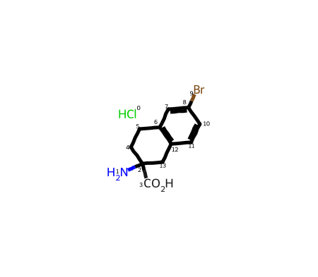 Cl.NC1(C(=O)O)CCc2cc(Br)ccc2C1